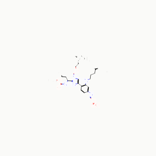 C=CCC(NC(=O)OC(C)(C)C)c1nc(-c2ccc(N=COO)cc2NCCCC(=C)C)cn1COCC[Si](C)(C)C